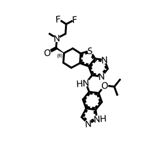 CC(C)Oc1cc2[nH]ncc2cc1Nc1ncnc2sc3c(c12)CC[C@@H](C(=O)N(C)CC(F)F)C3